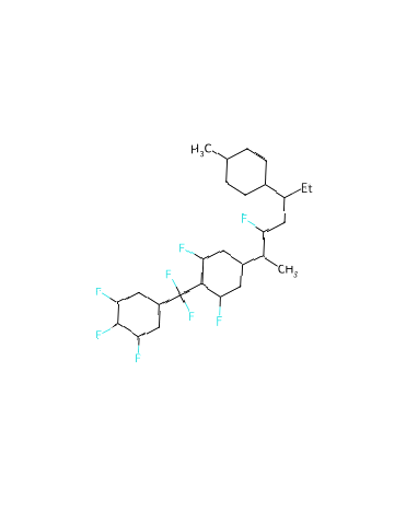 CCC(CC(F)C(C)C1CC(F)C(C(F)(F)C2CC(F)C(F)C(F)C2)C(F)C1)C1CCC(C)CC1